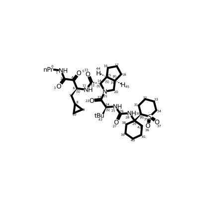 CCCNC(=O)C(=O)[C@H](CC1CC1)NC(=O)[C@@H]1[C@H]2CCC[C@H]2CN1C(=O)[C@@H](NC(=O)NC1([C@H]2CCCCS2(=O)=O)CCCCC1)C(C)(C)C